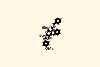 CCCCN(C[C@@H](O)[C@H](Cc1ccccc1)N(NC(=O)OCc1ccccc1)C(=O)C[C@@H](C)CC)S(=O)(=O)c1ccc(OC)cc1